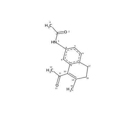 CC(=O)Nc1ccc2c(c1)C(C(C)=O)=C(C)CC2